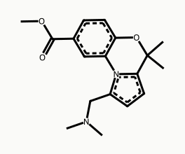 COC(=O)c1ccc2c(c1)-n1c(CN(C)C)ccc1C(C)(C)O2